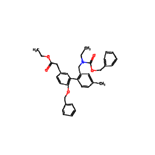 CCOC(=O)Cc1ccc(OCc2ccccc2)c(-c2ccc(C)cc2CN(CC)C(=O)OCc2ccccc2)c1